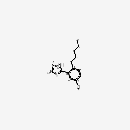 CCCCCc1ccc(Cl)cc1-c1nnn[nH]1